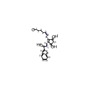 O=CCCC/C=C\C[C@@H]1[C@@H](/C=C/[C@@H](O)c2cc3ccccc3s2)[C@H](O)C[C@@H]1O